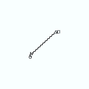 C[Si](C)(Cl)CCCCCCCCCCCCCCCCCCCCN=C=O